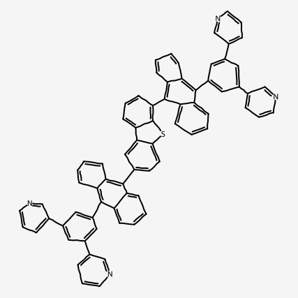 c1cncc(-c2cc(-c3cccnc3)cc(-c3c4ccccc4c(-c4ccc5sc6c(-c7c8ccccc8c(-c8cc(-c9cccnc9)cc(-c9cccnc9)c8)c8ccccc78)cccc6c5c4)c4ccccc34)c2)c1